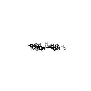 Cc1ccc2c(O)c(S(=O)(=O)N3CCC4(CC3)C[C@@H](NCC(O)COc3cccc(S(N)(=O)=O)c3)CO4)cnc2c1